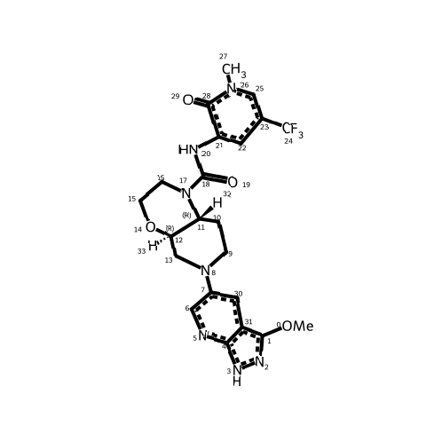 COc1n[nH]c2ncc(N3CC[C@@H]4[C@@H](C3)OCCN4C(=O)Nc3cc(C(F)(F)F)cn(C)c3=O)cc12